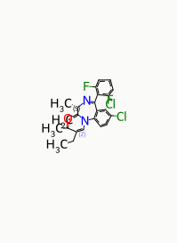 C=C1[C@H](C)N=C(c2c(F)cccc2F)c2c(ccc(Cl)c2Cl)N1/C=C(/CC)C(C)=O